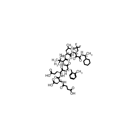 Cc1ccccc1C[C@H](NC(=O)[C@H](CCC(=O)O)NC(=O)[C@H](CC(=O)O)NC(=O)CCC(=O)O)C(=O)N[C@H](C(=O)N[C@@H](CC(C)C)C(=O)N[C@@H](CC(F)(F)F)C(=O)C(=O)N[C@@H](C)C1CCCCC1)C(C)(C)C